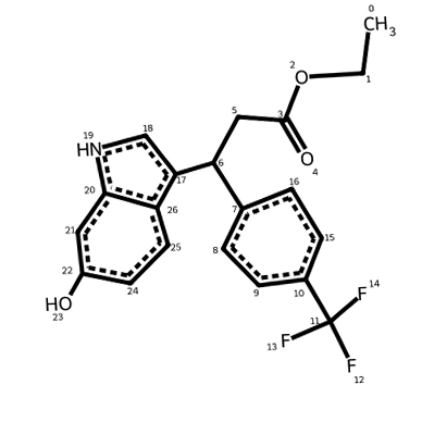 CCOC(=O)CC(c1ccc(C(F)(F)F)cc1)c1c[nH]c2cc(O)ccc12